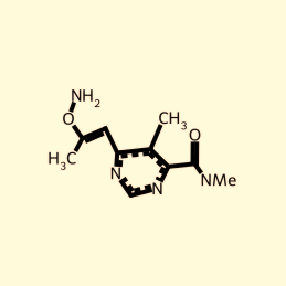 CNC(=O)c1ncnc(/C=C(\C)ON)c1C